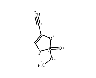 C#CC1=CSP(=O)(OC)O1